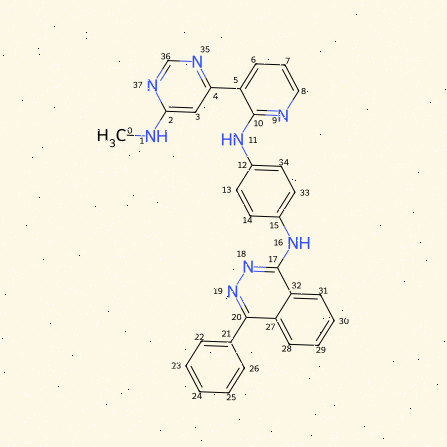 CNc1cc(-c2cccnc2Nc2ccc(Nc3nnc(-c4ccccc4)c4ccccc34)cc2)ncn1